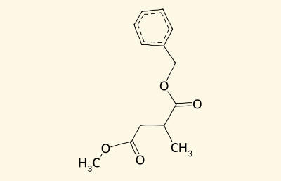 COC(=O)CC(C)C(=O)OCc1ccccc1